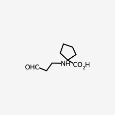 O=CCCNC1(C(=O)O)CCCC1